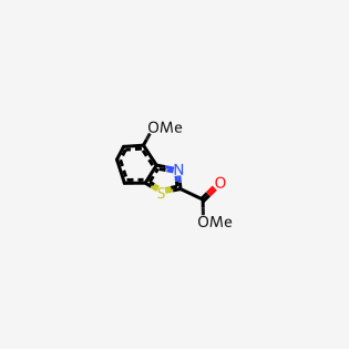 COC(=O)c1nc2c(OC)cccc2s1